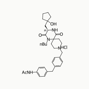 CCCCN1C(=O)[C@@H](CC2(O)CCCC2)NC(=O)C12CCN(Cc1ccc(Cc3ccc(NC(C)=O)cc3)cc1)CC2.Cl